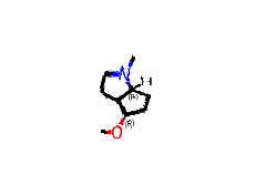 CO[C@@H]1CC[C@@H]2C1CCN2C